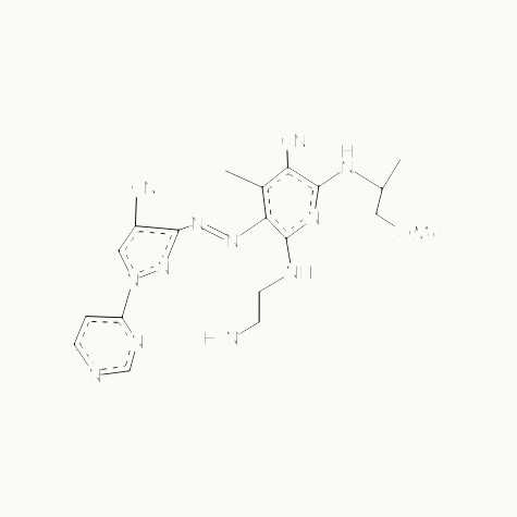 COCC(C)Nc1nc(NCCN)c(N=Nc2nn(-c3ccncn3)cc2C#N)c(C)c1C#N